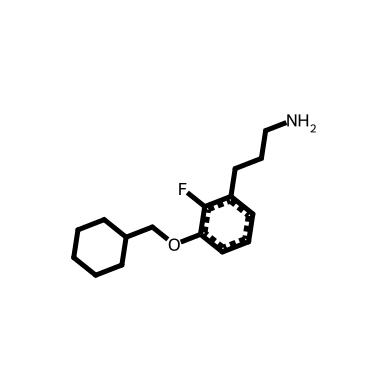 NCCCc1cccc(OCC2CCCCC2)c1F